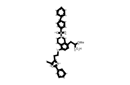 COC(Cc1ccc(OCCc2nc(-c3ccccc3)oc2C)c2c1CN(S(=O)(=O)c1ccc(-c3ccccc3)cc1)CC2)C(=O)O